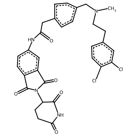 CN(CCc1ccc(Cl)c(Cl)c1)Cc1ccc(CC(=O)Nc2ccc3c(c2)C(=O)N(C2CCC(=O)NC2=O)C3=O)cc1